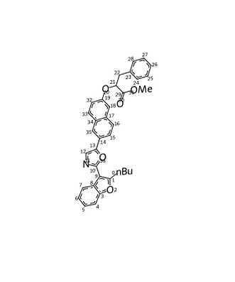 CCCCc1oc2ccccc2c1-c1ncc(-c2ccc3cc(OC(Cc4ccccc4)C(=O)OC)ccc3c2)o1